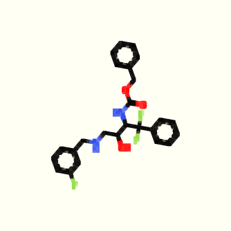 O=C(N[C@H]([C@@H](O)CNCc1cccc(F)c1)C(F)(F)c1ccccc1)OCc1ccccc1